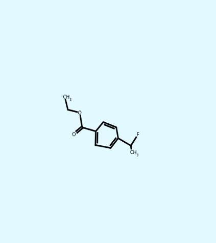 CCOC(=O)c1ccc(C(C)F)cc1